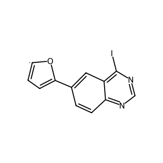 Ic1ncnc2ccc(-c3cc[c]o3)cc12